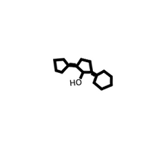 OC1C(=C2CCCCC2)CCC1=C1CCCC1